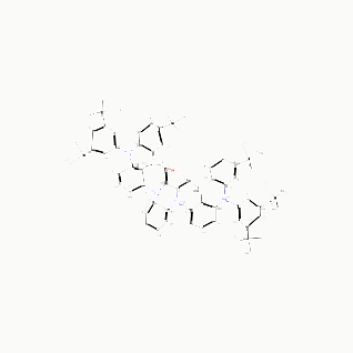 CC(C)(C)c1cc(N2c3ccc(C(C)(C)C)cc3B3c4oc5c6c4N(c4ccccc4N6c4cccc6c4B5c4ccc(C(C)(C)C)cc4N6c4cc(C(C)(C)C)cc(C(C)(C)C)c4)c4cccc2c43)cc(C(C)(C)C)c1